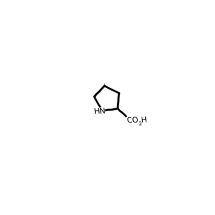 O=C(O)C1C[CH]CN1